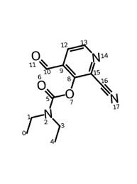 CCN(CC)C(=O)Oc1c(C=O)ccnc1C#N